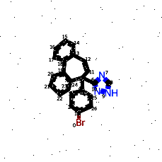 Brc1ccc(C2(c3nc[nH]n3)C=Cc3ccccc3-c3ccccc32)cc1